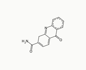 NC(=O)C1=CC=C2C(=O)c3ccccc3N=C2C1